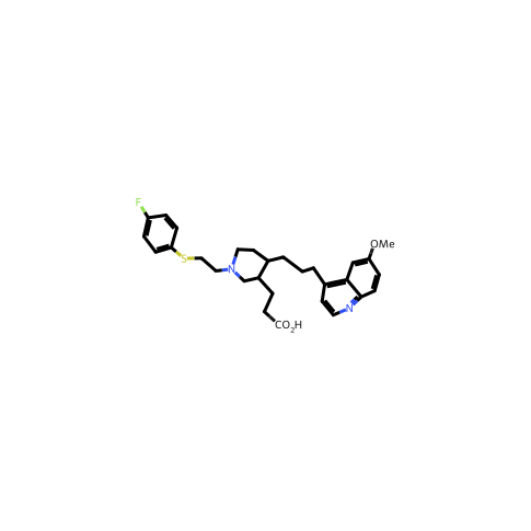 COc1ccc2nccc(CCCC3CCN(CCSc4ccc(F)cc4)CC3CCC(=O)O)c2c1